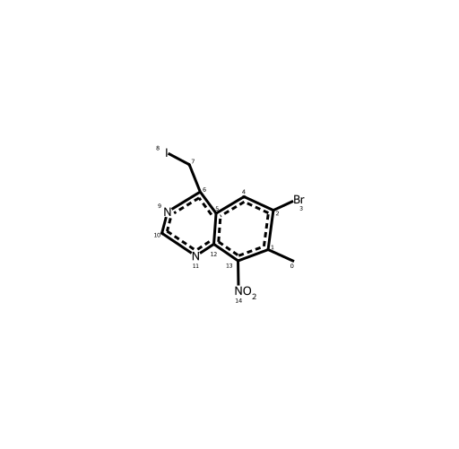 Cc1c(Br)cc2c(CI)ncnc2c1[N+](=O)[O-]